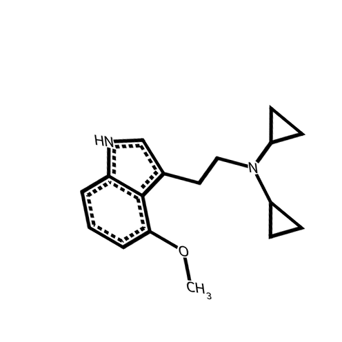 COc1cccc2[nH]cc(CCN(C3CC3)C3CC3)c12